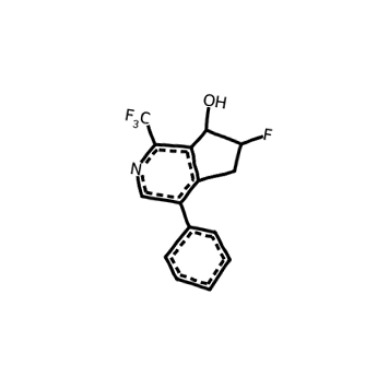 OC1c2c(C(F)(F)F)ncc(-c3ccccc3)c2CC1F